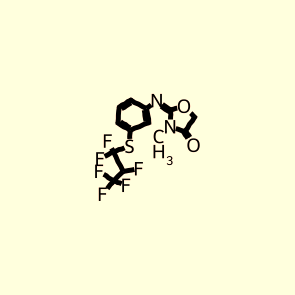 CN1C(=O)COC1=Nc1cccc(SC(F)(F)C(F)C(F)(F)F)c1